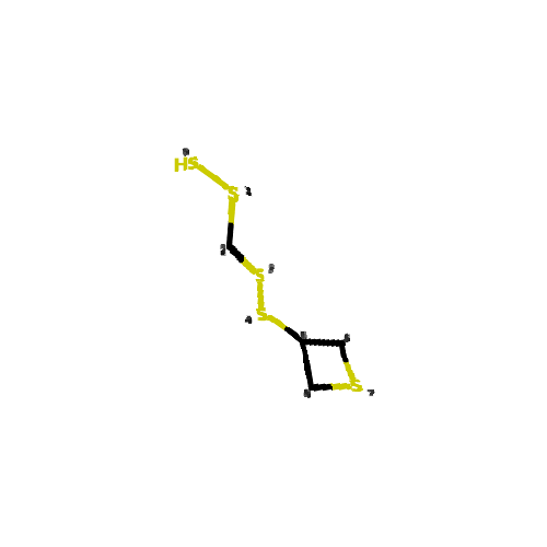 SSCSSC1CSC1